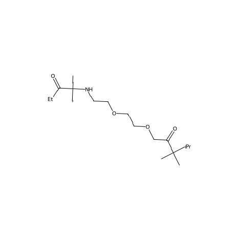 CCC(=O)C(C)(C)NCCOCCOCC(=O)C(C)(C)C(C)C